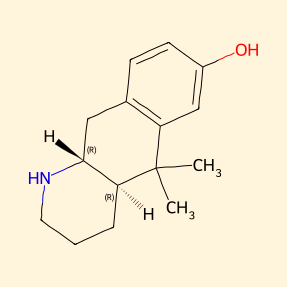 CC1(C)c2cc(O)ccc2C[C@H]2NCCC[C@@H]21